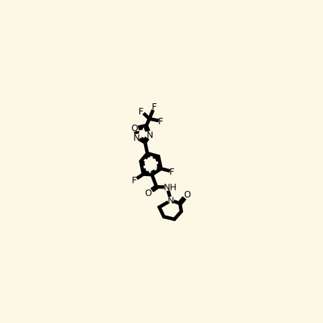 O=C(NN1CCCCC1=O)c1c(F)cc(-c2noc(C(F)(F)F)n2)cc1F